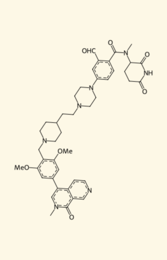 COc1cc(-c2cn(C)c(=O)c3cnccc23)cc(OC)c1CN1CCC(CCN2CCN(c3ccc(C(=O)N(C)C4CCC(=O)NC4=O)c(C=O)c3)CC2)CC1